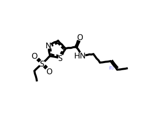 C/C=C/CCNC(=O)c1cnc(S(=O)(=O)CC)s1